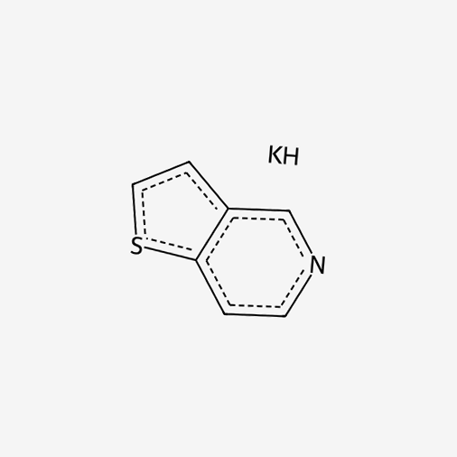 [KH].c1cc2sccc2cn1